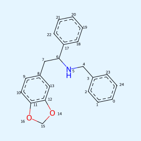 c1ccc(CNC(Cc2ccc3c(c2)OCO3)c2ccccc2)cc1